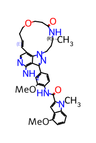 COc1cc(-c2nn3c4c(cnc(N)c24)/C=C/CCOCCC(=O)N[C@H](C)CC3)ccc1NC(=O)c1cc2c(OC)cccc2n1C